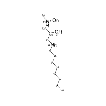 CCCCCCCCNCC(O)C[NH+](C)[O-]